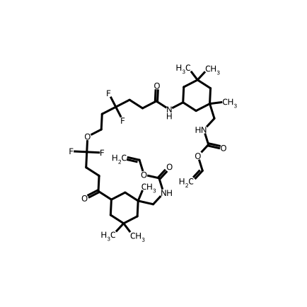 C=COC(=O)NCC1(C)CC(NC(=O)CCC(F)(F)CCOC(F)(F)CCC(=O)C2CC(C)(C)CC(C)(CNC(=O)OC=C)C2)CC(C)(C)C1